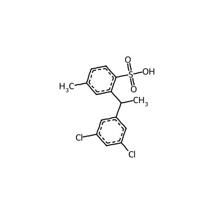 Cc1ccc(S(=O)(=O)O)c(C(C)c2cc(Cl)cc(Cl)c2)c1